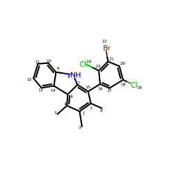 Cc1c(C)c(C)c2c([nH]c3ccccc32)c1-c1cc(Cl)cc(Br)c1Cl